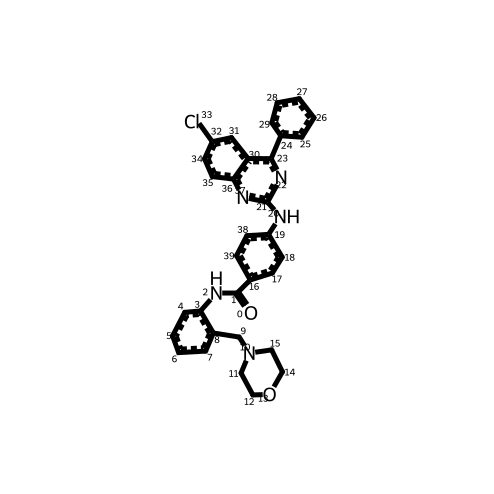 O=C(Nc1ccccc1CN1CCOCC1)c1ccc(Nc2nc(-c3ccccc3)c3cc(Cl)ccc3n2)cc1